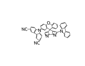 N#Cc1ccc2c(c1)c1cc(C#N)ccc1n2-c1ccc2c(c1)C1(c3ccccc3O2)c2cccnc2-c2ncc(-n3c4ccccc4c4ccccc43)cc21